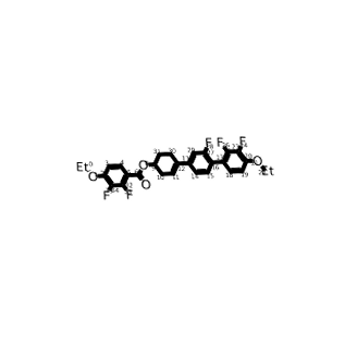 CCOc1ccc(C(=O)OC2CC=C(c3ccc(-c4ccc(OCC)c(F)c4F)c(F)c3)CC2)c(F)c1F